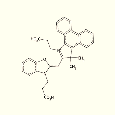 CC1(C)C(/C=C2\Oc3ccccc3N2CCC(=O)O)=[N+](CCC(=O)O)c2c1c1ccccc1c1ccccc21